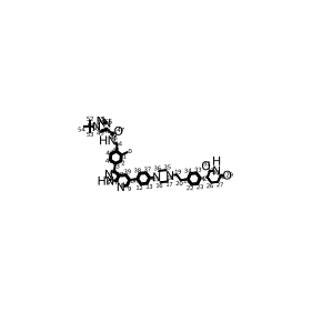 Cc1cc(-c2n[nH]c3ncc(-c4ccc(N5CCN(CCc6ccc([C@H]7CCC(=O)NC7=O)cc6)CC5)cc4)cc23)ccc1CNC(=O)c1cn(C(C)(C)C)nn1